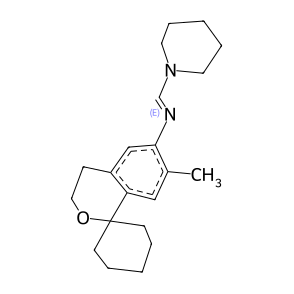 Cc1cc2c(cc1/N=C/N1CCCCC1)CCOC21CCCCC1